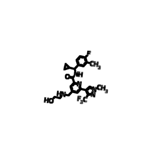 Cc1cc(C(NC(=O)c2cc(CNCCO)cc(-c3cn(C)nc3C(F)(F)F)n2)C2CC2)ccc1F